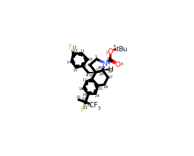 CC(C)(C)OC(=O)N1CC[C@@]2(Cc3ccc(F)cc3)c3ccc(C(C)(F)C(F)(F)F)cc3CC[C@@H]12